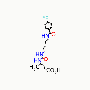 CC(CCC(=O)O)NC(=O)NCCCCCNC(=O)c1ccc([18F])cc1